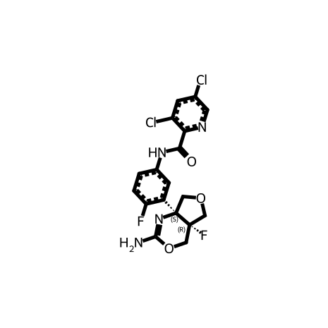 NC1=N[C@@]2(c3cc(NC(=O)c4ncc(Cl)cc4Cl)ccc3F)COC[C@@]2(F)CO1